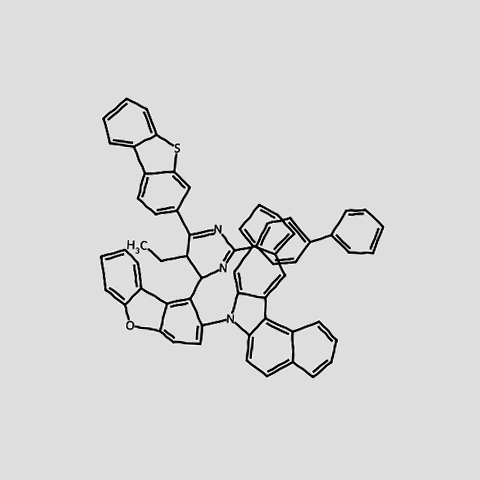 CCC1C(c2ccc3c(c2)sc2ccccc23)=NC(c2ccc(-c3ccccc3)cc2)=NC1c1c(-n2c3cc4ccccc4cc3c3c4ccccc4ccc32)ccc2oc3ccccc3c12